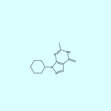 C=C1NC(C)=Nc2c1cnn2C1CCCCC1